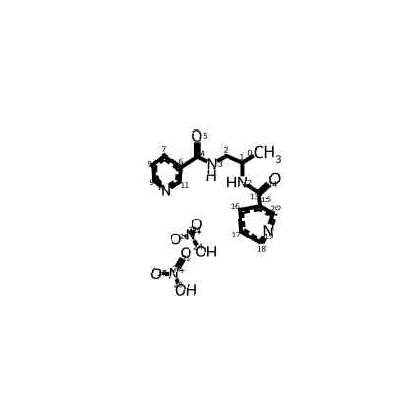 CC(CNC(=O)c1cccnc1)NC(=O)c1cccnc1.O=[N+]([O-])O.O=[N+]([O-])O